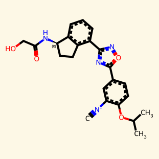 [C-]#[N+]c1cc(-c2nc(-c3cccc4c3CC[C@H]4NC(=O)CO)no2)ccc1OC(C)C